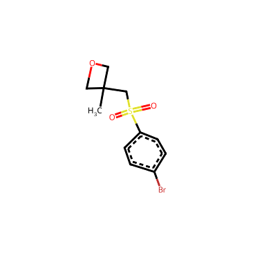 CC1(CS(=O)(=O)c2ccc(Br)cc2)COC1